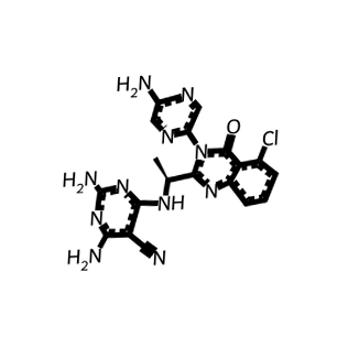 C[C@H](Nc1nc(N)nc(N)c1C#N)c1nc2cccc(Cl)c2c(=O)n1-c1cnc(N)cn1